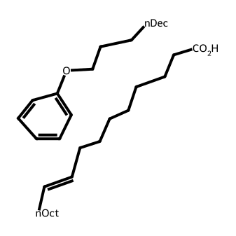 CCCCCCCCC=CCCCCCCCC(=O)O.CCCCCCCCCCCCCOc1ccccc1